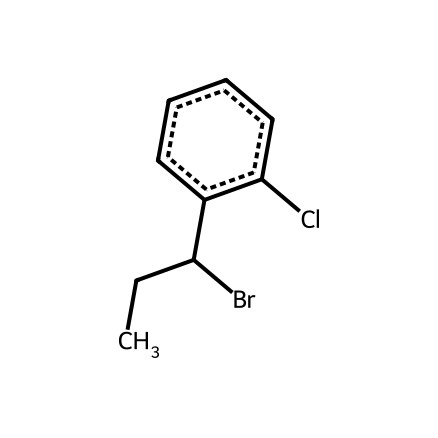 CCC(Br)c1ccccc1Cl